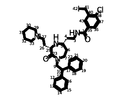 O=C(NCC[C@@H]1CCN(CC(c2ccccc2)c2ccccc2)C(=O)[C@H](CCN2CCCCC2)N1)c1ccc(Cl)c(CI)c1